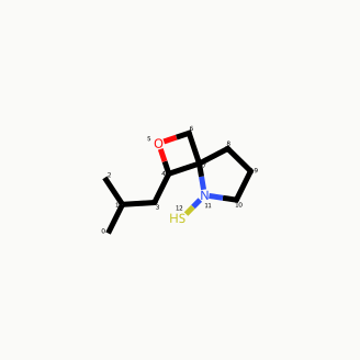 CC(C)CC1OCC12CCCN2S